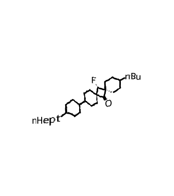 CCCCCCCC1CCC(C2CC[C@]3(CC2)C(=O)[C@@]2(CCC(CCCC)CC2)[C@H]3F)CC1